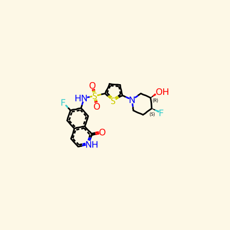 O=c1[nH]ccc2cc(F)c(NS(=O)(=O)c3ccc(N4CC[C@H](F)[C@H](O)C4)s3)cc12